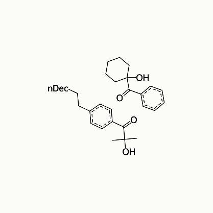 CCCCCCCCCCCCc1ccc(C(=O)C(C)(C)O)cc1.O=C(c1ccccc1)C1(O)CCCCC1